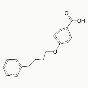 O=C(O)c1ccc(OCCCCc2ccccc2)cc1